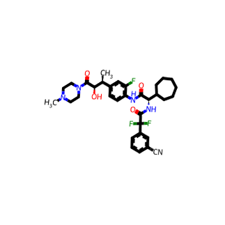 C[C@@H](c1ccc(NC(=O)[C@@H](NC(=O)C(F)(F)c2cccc(C#N)c2)C2CCCCCC2)c(F)c1)[C@@H](O)C(=O)N1CCN(C)CC1